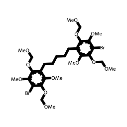 COCOc1c(Br)c(OC)c(OCOC)c(CCCCCc2c(OC)c(OCOC)c(Br)c(OC)c2OCOC)c1OC